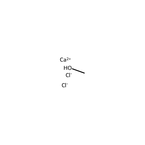 CO.[Ca+2].[Cl-].[Cl-]